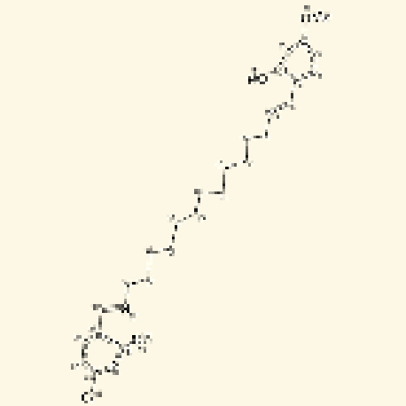 COc1ccc(C=NCCCCCCCCCCCCN=Cc2ccc(Cl)cc2O)c(O)c1